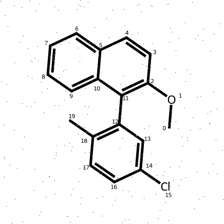 COc1ccc2ccccc2c1-c1cc(Cl)ccc1C